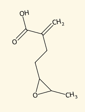 C=C(CCC1OC1C)C(=O)O